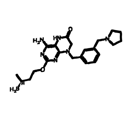 B[C@H](C)CCOc1nc(N)c2c(n1)N(Cc1cccc(CN3CCCC3)c1)CC(=O)N2